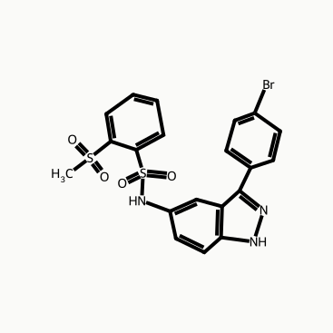 CS(=O)(=O)c1ccccc1S(=O)(=O)Nc1ccc2[nH]nc(-c3ccc(Br)cc3)c2c1